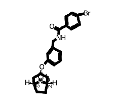 CN1[C@@H]2CC[C@H]1C[C@@H](Oc1cccc(CNC(=O)c3ccc(Br)cc3)c1)C2